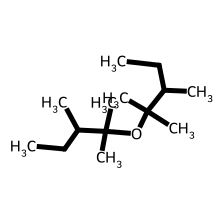 CCC(C)C(C)(C)OC(C)(C)C(C)CC